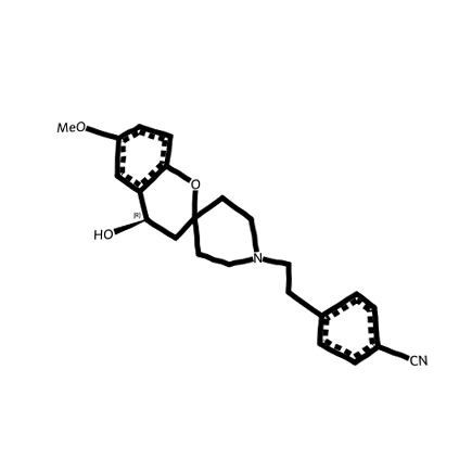 COc1ccc2c(c1)[C@H](O)CC1(CCN(CCc3ccc(C#N)cc3)CC1)O2